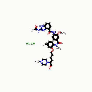 COc1cc(C(=O)N(C)c2ccc(C)cc2OCCCCC(C=O)N2CCN(C)CC2)ccc1NC(=O)c1cccc2[nH]c(NC(C)=O)nc12.Cl.Cl